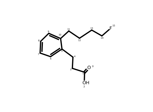 O=C(O)CCc1ccccc1CCCCF